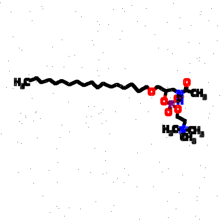 CCCCCCCCCCCCCCCCCCOCC(CNC(C)=O)OP(=O)([O-])OCC[N+](C)(C)C